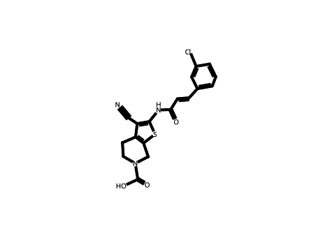 N#Cc1c(NC(=O)C=Cc2cccc(Cl)c2)sc2c1CCN(C(=O)O)C2